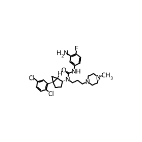 CN1CCN(CCCN(C(=O)Nc2ccc(F)c(N)c2)[C@@H]2CC[C@]3(c4cc(Cl)ccc4Cl)C[C@H]23)CC1